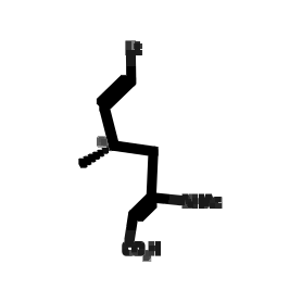 CCC=C[C@@H](C)CC(=CC(=O)O)NC(C)=O